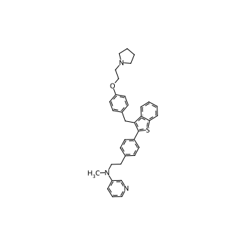 CN(CCc1ccc(-c2sc3ccccc3c2Cc2ccc(OCCN3CCCC3)cc2)cc1)c1cccnc1